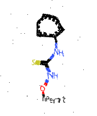 CCCCCONC(=S)Nc1ccccc1